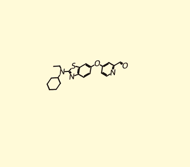 CCN(c1nc2ccc(Oc3ccnc(C=O)c3)cc2s1)C1CCCCC1